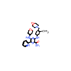 Cc1cc(Nc2nc(NC3CCOCC3)c(-c3ccccn3)nc2C(N)=O)ccc1CN1CCOCC1